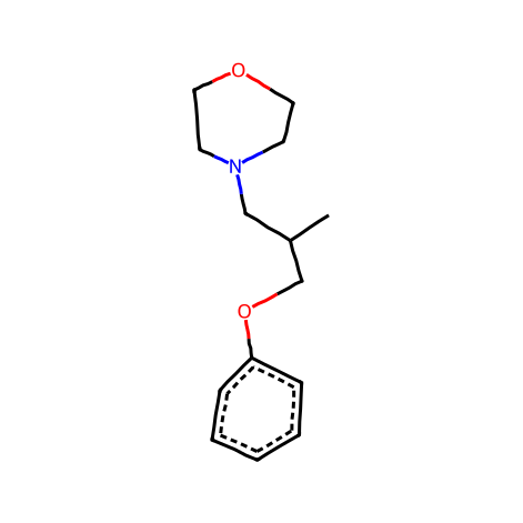 CC(COc1ccccc1)CN1CCOCC1